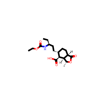 CCOC(=O)N[C@@H](CC)CC[C@@H]1CC[C@H]2C(=O)O[C@H](C)[C@H]2[C@H]1C(=O)O